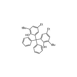 CCc1cc(C(C)(C)C)c(O)c(C(c2ccccc2)(c2ccccc2)c2cc(CC)cc(C(C)(C)C)c2O)c1